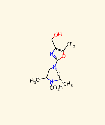 CC1CN(c2nc(CO)c(C(F)(F)F)o2)C[C@H](C)N1C(=O)O